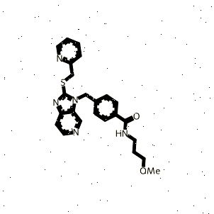 COCCCNC(=O)c1ccc(Cn2c(SCc3ccccn3)nc3ccncc32)cc1